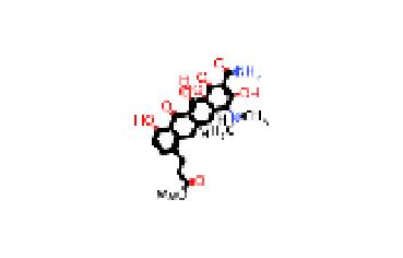 COC(=O)CCc1ccc(O)c2c1C[C@H]1C[C@H]3[C@H](N(C)C)C(O)=C(C(N)=O)C(=O)[C@@]3(O)C(O)=C1C2=O